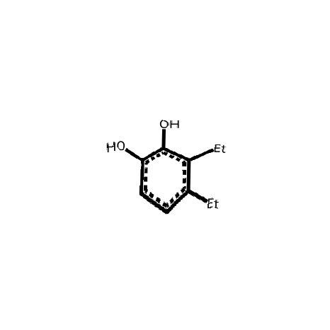 CCc1ccc(O)c(O)c1CC